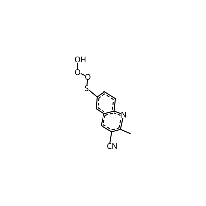 Cc1nc2ccc(SOOO)cc2cc1C#N